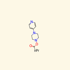 CCCC(=O)ON1CCN(c2ccncc2)CC1